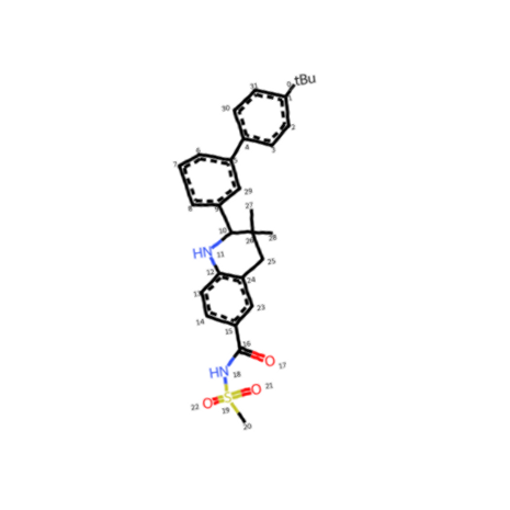 CC(C)(C)c1ccc(-c2cccc(C3Nc4ccc(C(=O)NS(C)(=O)=O)cc4CC3(C)C)c2)cc1